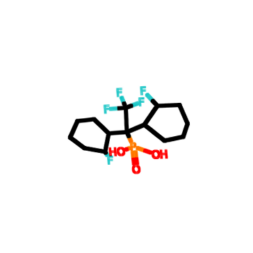 O=P(O)(O)C(C1CCCCC1F)(C1CCCCC1F)C(F)(F)F